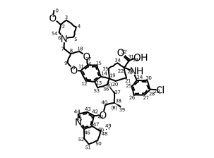 COC1CCCN(CC2COc3cc4c(cc3OC2)C2(CCC(Nc3cccc(Cl)c3)(C(=O)O)CC2)[C@@H](C[C@@H](C)COc2ccnc3c2[C@H](C)CCC3)C4)C1